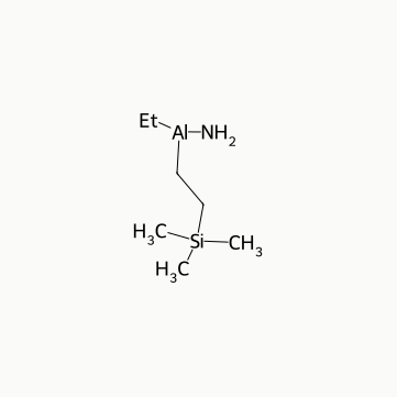 C[CH2][Al]([NH2])[CH2]C[Si](C)(C)C